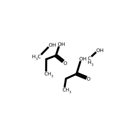 CCC(=O)O.CCC(=O)O.CO.CO